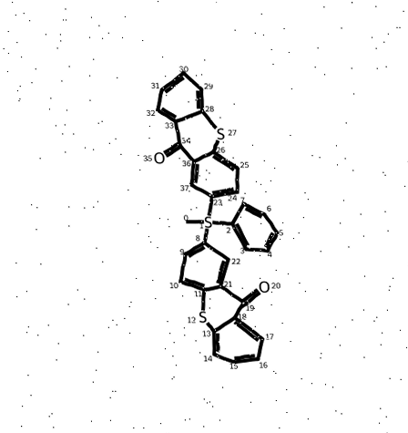 CS(c1ccccc1)(c1ccc2sc3ccccc3c(=O)c2c1)c1ccc2sc3ccccc3c(=O)c2c1